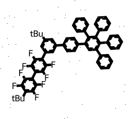 CC(C)(C)c1cc(-c2ccc(-c3cc(-c4ccccc4)c(-c4ccccc4)c(-c4ccccc4)c3-c3ccccc3)cc2)cc(-c2c(F)c(F)c(-c3c(F)c(F)c(C(C)(C)C)c(F)c3F)c(F)c2F)c1